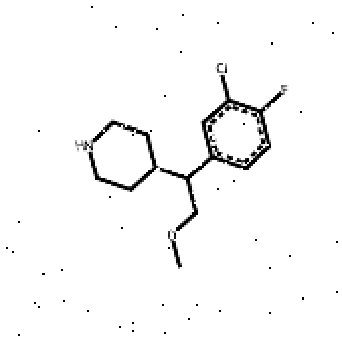 COCC(c1ccc(F)c(Cl)c1)C1CCNCC1